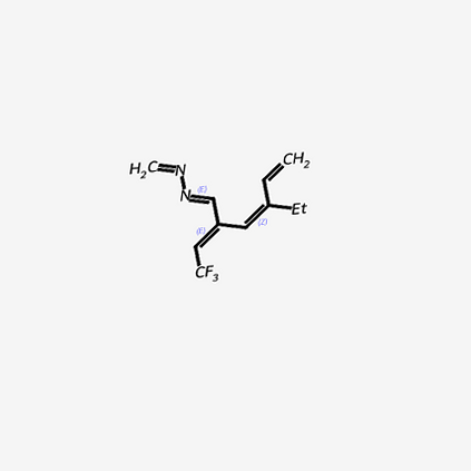 C=C\C(=C/C(/C=N/N=C)=C\C(F)(F)F)CC